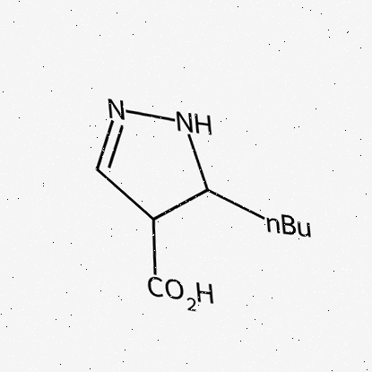 CCCCC1NN=CC1C(=O)O